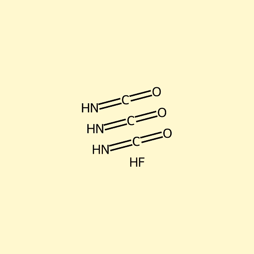 F.N=C=O.N=C=O.N=C=O